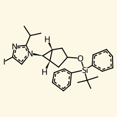 CC(C)c1nc(I)cn1[C@H]1[C@@H]2CC(O[Si](c3ccccc3)(c3ccccc3)C(C)(C)C)C[C@@H]21